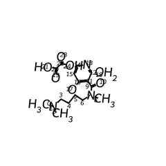 CN(C)CCC1CN(C)C(=O)c2cnccc2O1.O.O=C(O)C(=O)O